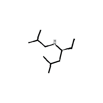 CC[C@@H](CC(C)C)NCC(C)C